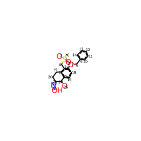 CS(=O)(=O)Cc1c(OCc2ccccc2)ccc2c1CC/C(=N/O)C2=O